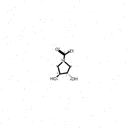 CCC(=O)N1C[C@H](O)[C@@H](O)C1